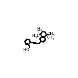 CC1(C)CCC(C)(C)c2cc(CC#Cc3ccccc3CO)ccc21